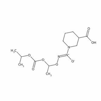 CC(C)OC(=O)OC(C)ON=[N+]([O-])N1CCCC(C(=O)O)C1